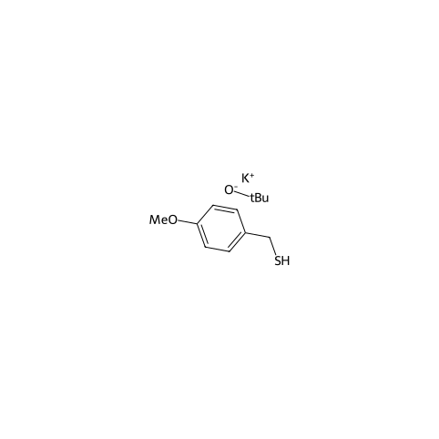 CC(C)(C)[O-].COc1ccc(CS)cc1.[K+]